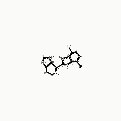 Fc1ccc(F)c2oc(C3=NCCc4[nH]cnc43)nc12